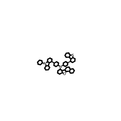 c1ccc(-n2c3ccccc3c3c(-c4ccc(N(c5ccc(-c6cccc7sc8ccccc8c67)cc5)c5cccc6oc7c8ccccc8ccc7c56)cc4)cccc32)cc1